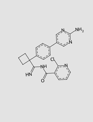 N=C(NC(=O)c1cccnc1Cl)C1(c2ccc(-c3cnc(N)nc3)cc2)CCC1